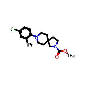 CC(C)c1cc(Cl)ccc1N1CCC2(CCN(C(=O)OC(C)(C)C)C2)CC1